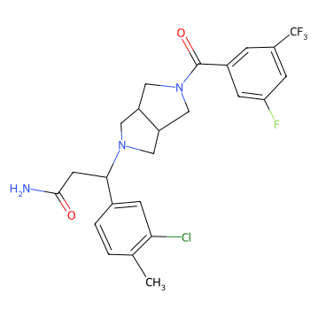 Cc1ccc(C(CC(N)=O)N2CC3CN(C(=O)c4cc(F)cc(C(F)(F)F)c4)CC3C2)cc1Cl